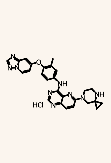 Cc1cc(Nc2ncnc3ccc(N4CCNC5(CC5)C4)nc23)ccc1Oc1ccn2ncnc2c1.Cl